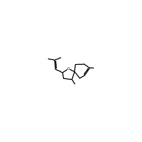 CC(C)=CC1CC(C)C2(CC=C(C)CC2)O1